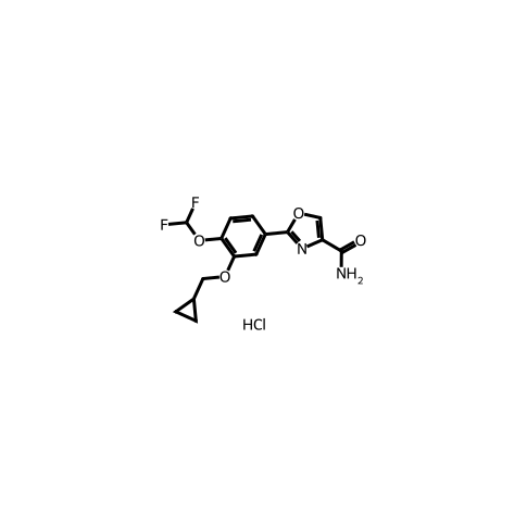 Cl.NC(=O)c1coc(-c2ccc(OC(F)F)c(OCC3CC3)c2)n1